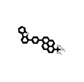 CC(C)(C)c1ccc2ccc3c(-c4ccc(-c5cccc6c5oc5ccccc56)cc4)ccc4ccc1c2c43